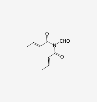 CC=CC(=O)N(C=O)C(=O)C=CC